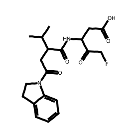 CC(C)C(CC(=O)N1CCc2ccccc21)C(=O)NC(CC(=O)O)C(=O)CF